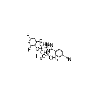 CC(C)n1c(-c2ccc(C#N)cc2)nnc1C(C)(C)Oc1c(F)cc(F)cc1F